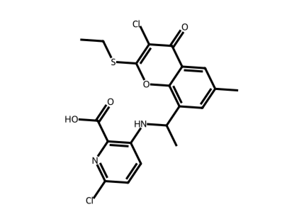 CCSc1oc2c(C(C)Nc3ccc(Cl)nc3C(=O)O)cc(C)cc2c(=O)c1Cl